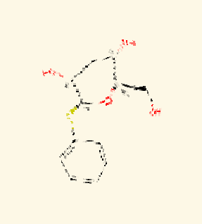 OC[C@H]1O[C@@H](Sc2ccccc2)[C@H](O)C[C@@H]1O